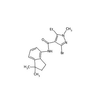 CCc1c(C(=O)Nc2cccc3c2CCC3(C)C)c(Br)nn1C